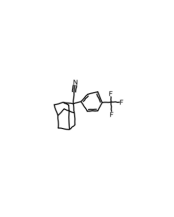 N#CC1(c2ccc(C(F)(F)F)cc2)C2CC3CC(C2)CC1C3